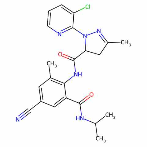 CC1=NN(c2ncccc2Cl)C(C(=O)Nc2c(C)cc(C#N)cc2C(=O)NC(C)C)C1